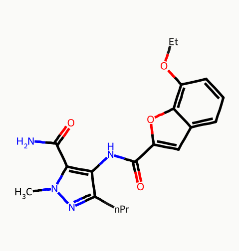 CCCc1nn(C)c(C(N)=O)c1NC(=O)c1cc2cccc(OCC)c2o1